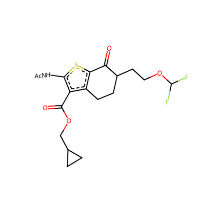 CC(=O)Nc1sc2c(c1C(=O)OCC1CC1)CCC(CCOC(F)F)C2=O